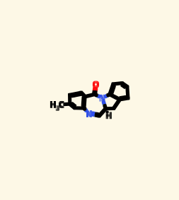 Cc1ccc2c(c1)N=C[C@@H]1Cc3ccccc3N1C2=O